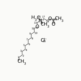 CCCCCCCCCCCCOC[N+](C)(C)CCOC(C)=O.[Cl-]